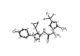 Cc1nc(C(F)(F)F)cn1[C@@H](C)C(=O)Nc1nnn(-c2ccc(Cl)cc2)c1C1CC1